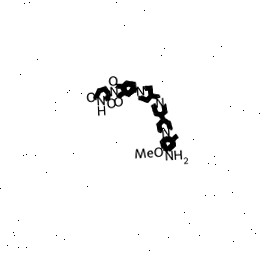 COc1cc(N2CCC(C3CCN(CC4CCN(c5ccc6c(c5)C(=O)N(C5CCC(=O)NC5=O)C6=O)CC4)CC3)CC2)c(C)cc1N